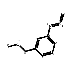 C=S=Nc1cccc(COC)c1